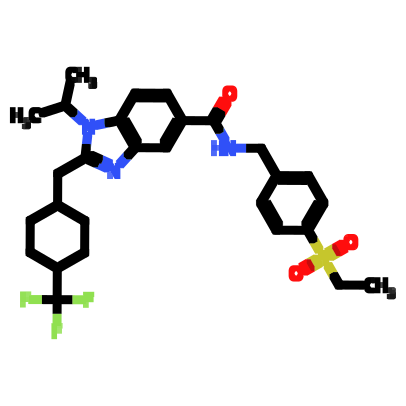 CCS(=O)(=O)c1ccc(CNC(=O)c2ccc3c(c2)nc(CC2CCC(C(F)(F)F)CC2)n3C(C)C)cc1